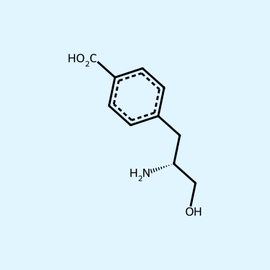 N[C@@H](CO)Cc1ccc(C(=O)O)cc1